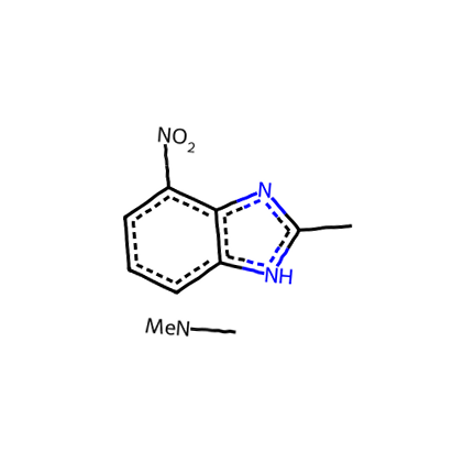 CNC.Cc1nc2c([N+](=O)[O-])cccc2[nH]1